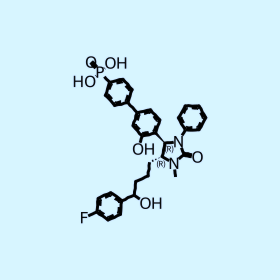 CN1C(=O)N(c2ccccc2)[C@H](c2ccc(-c3ccc(P(=O)(O)O)cc3)cc2O)[C@H]1CCCC(O)c1ccc(F)cc1